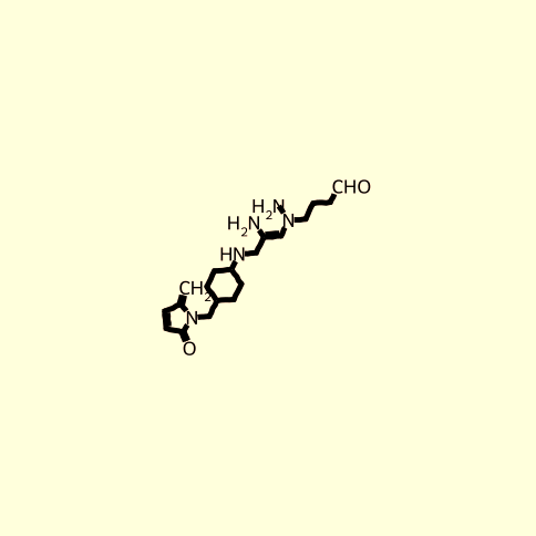 C=C1C=CC(=O)N1CC1CCC(NC/C(N)=C/N(N)CCCC=O)CC1